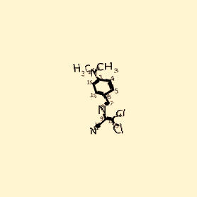 CN(C)c1ccc(C=NC(C#N)=C(Cl)Cl)cc1